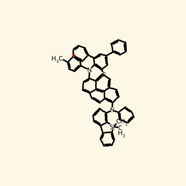 Cc1ccc(N(c2c(F)cc(-c3ccccc3)cc2-c2ccccc2)c2ccc3ccc4c(N(c5ccccc5)c5cccc6c5[Si](C)(C)c5ccccc5-6)ccc5ccc2c3c54)cc1